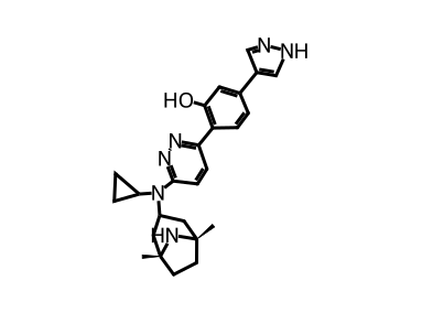 C[C@]12CC[C@](C)(CC(N(c3ccc(-c4ccc(-c5cn[nH]c5)cc4O)nn3)C3CC3)C1)N2